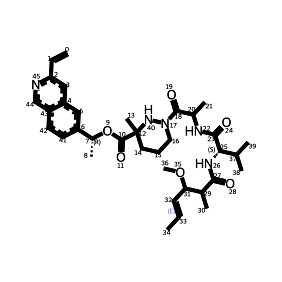 C=Cc1cc2cc([C@@H](C)OC(=O)C3(C)CCCN(C(=O)C(C)NC(=O)[C@@H](NC(=O)C(C)C(/C=C/C)OC)C(C)C)N3)ccc2cn1